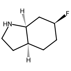 F[C@H]1CC[C@H]2CCN[C@H]2C1